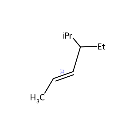 C/C=C/C(CC)C(C)C